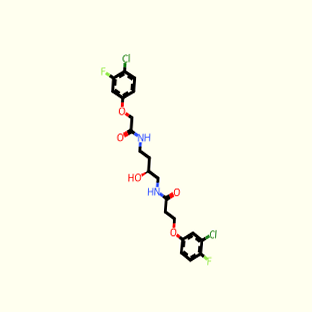 O=C(CCOc1ccc(F)c(Cl)c1)NC[C@@H](O)CCNC(=O)COc1ccc(Cl)c(F)c1